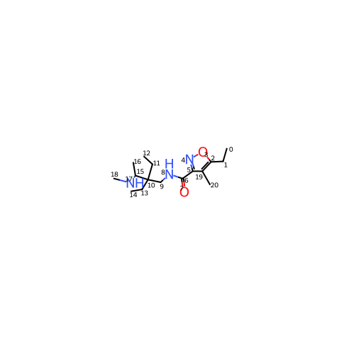 CCc1onc(C(=O)NCC(CC)(CC)C(C)NC)c1C